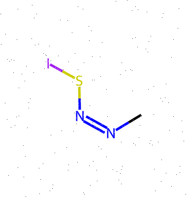 C/N=N\SI